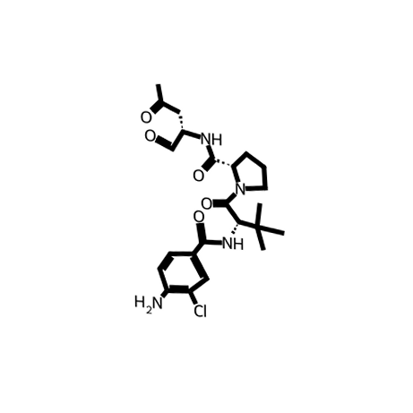 CC(=O)C[C@@H](C=O)NC(=O)[C@@H]1CCCN1C(=O)[C@@H](NC(=O)c1ccc(N)c(Cl)c1)C(C)(C)C